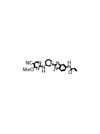 C=CC(=O)Nc1ccc2c(c1)nc(N1CCC[C@@H](Nc3ncc(C#N)c(OC)n3)C1)n2C